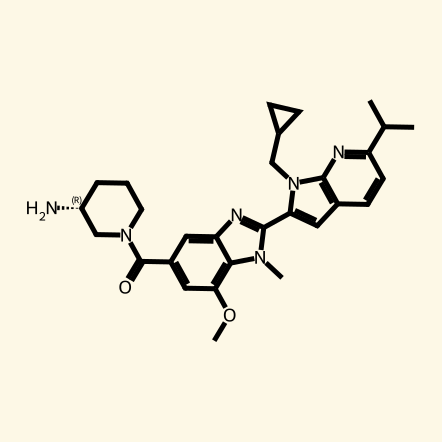 COc1cc(C(=O)N2CCC[C@@H](N)C2)cc2nc(-c3cc4ccc(C(C)C)nc4n3CC3CC3)n(C)c12